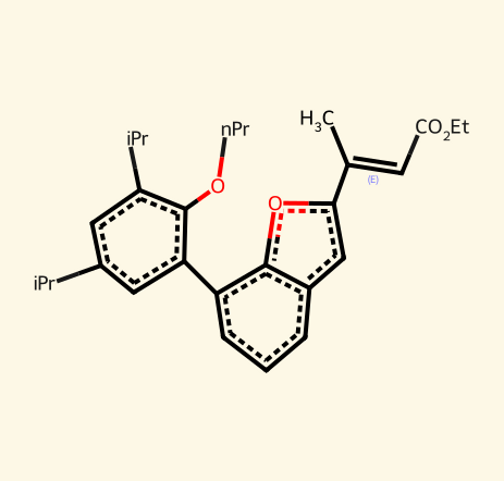 CCCOc1c(-c2cccc3cc(/C(C)=C/C(=O)OCC)oc23)cc(C(C)C)cc1C(C)C